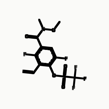 C=Cc1c(F)c(C(=O)N(C)OC)cc(F)c1OS(=O)(=O)C(F)(F)F